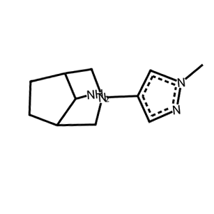 Cn1cc(N2CC3CCC(C2)C3N)cn1